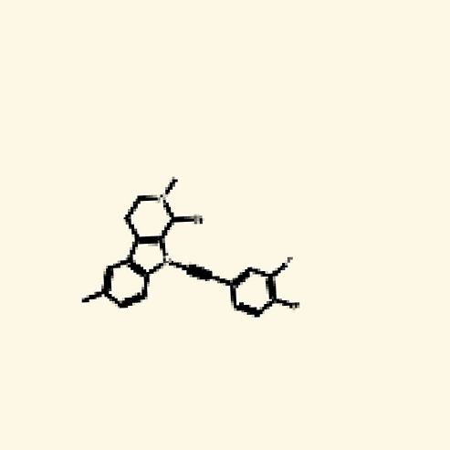 CCC1c2c(c3cc(C)ccc3n2C#Cc2ccc(F)c(F)c2)CCN1C